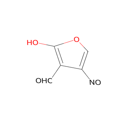 O=Cc1c(N=O)coc1O